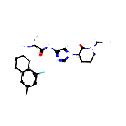 CCC[C@H](N[C@H]1CCc2cc(C)cc(F)c2C1)C(=O)Nc1cn(C2CCCN(CC(C)(C)C)C2=O)cn1